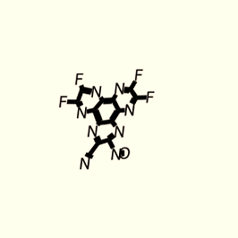 N#Cc1nc2c3nc(F)c(F)nc3c3nc(F)c(F)nc3c2nc1N=O